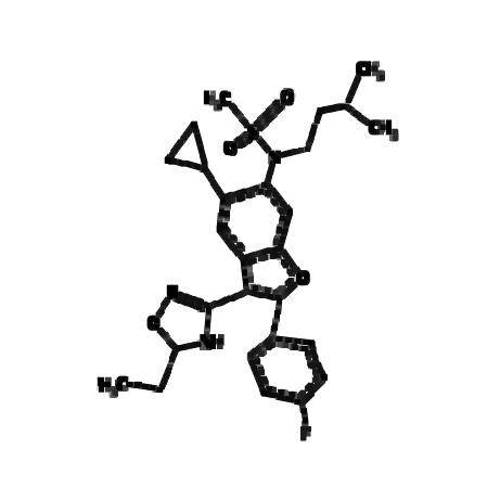 CCC1NC(c2c(-c3ccc(F)cc3)oc3cc(N(CCC(C)C)S(C)(=O)=O)c(C4CC4)cc23)=NO1